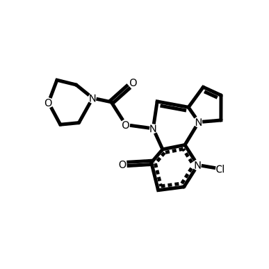 O=C(ON1C=C2C=CCN2c2c1c(=O)ccn2Cl)N1CCOCC1